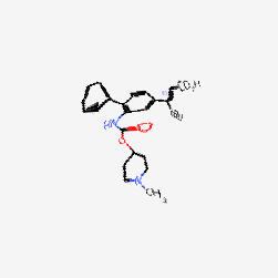 CN1CCC(OC(=O)Nc2cc(/C(=C/C(=O)O)C(C)(C)C)ccc2-c2ccccc2)CC1